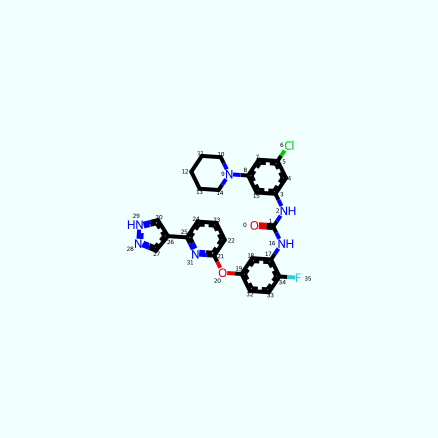 O=C(Nc1cc(Cl)cc(N2CCCCC2)c1)Nc1cc(Oc2cccc(-c3cn[nH]c3)n2)ccc1F